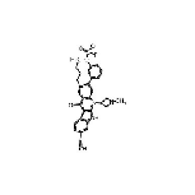 C#Cc1ccc2c(c1)[nH]c1c2c(=O)c2cc(CCCC)c(-c3cccc(OS(=O)(=O)F)c3)cc2n1C1CN(C)C1